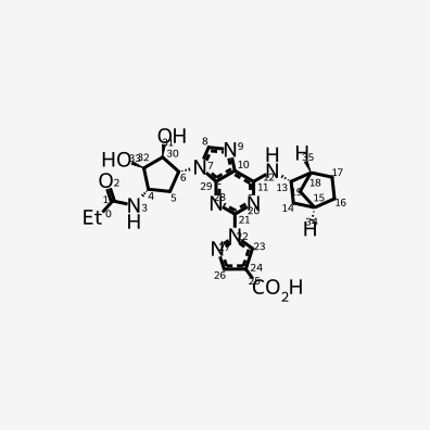 CCC(=O)N[C@H]1C[C@@H](n2cnc3c(N[C@H]4C[C@@H]5CC[C@@H]4C5)nc(-n4cc(C(=O)O)cn4)nc32)[C@H](O)[C@@H]1O